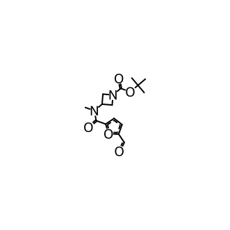 CN(C(=O)c1ccc(C=O)o1)C1CN(C(=O)OC(C)(C)C)C1